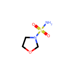 NS(=O)(=O)N1CCOC1